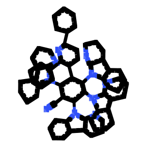 N#Cc1c(-n2c3ccccc3c3cccnc32)c(-c2ccc(-c3ccccc3)nc2-c2ccccc2)c(-n2c3ccccc3c3cccnc32)c(-n2c3ccccc3c3cccnc32)c1-n1c2ccccc2c2cccnc21